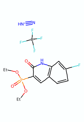 CCOP(=O)(OCC)c1cc2ccc(F)cc2[nH]c1=O.F[B-](F)(F)F.N#[NH+]